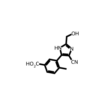 Cc1ccc(C(=O)O)cc1-c1[nH]c(CO)nc1C#N